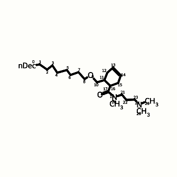 CCCCCCCCCCCCCCCCCCOCC1CC=CCC1C(=O)N(C)CCCN(C)C